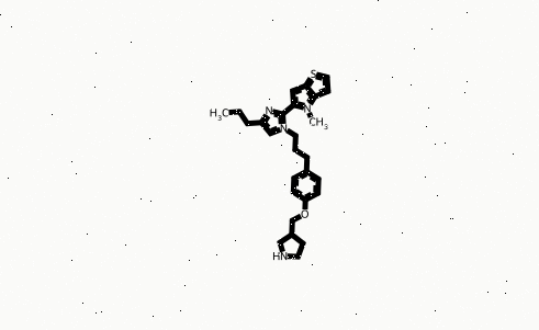 CCCc1cn(CCCc2ccc(OCC3CCNC3)cc2)c(-c2cc3sccc3n2C)n1